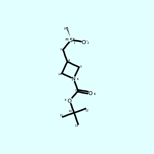 C[S@+]([O-])CC1CN(C(=O)OC(C)(C)C)C1